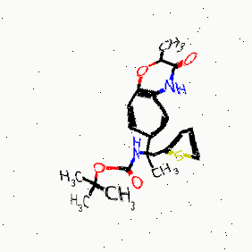 CC1Oc2ccc(C(C)(NC(=O)OC(C)(C)C)c3cccs3)cc2NC1=O